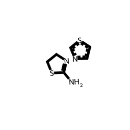 NC1=NCCS1.c1cscn1